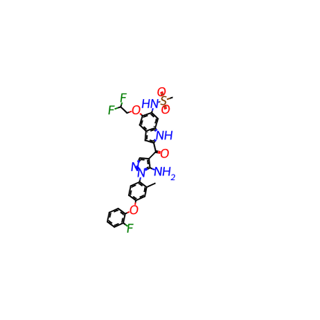 Cc1cc(Oc2ccccc2F)ccc1-n1ncc(C(=O)c2cc3cc(OCC(F)F)c(NS(C)(=O)=O)cc3[nH]2)c1N